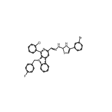 Fc1ccc(Cn2c3ccccc3c3cc(/C=N/NC4NC(c5cccc(Br)c5)=CS4)nc(-c4ccccc4Cl)c32)cc1